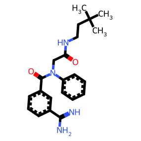 CC(C)(C)CCNC(=O)CN(C(=O)c1cccc(C(=N)N)c1)c1ccccc1